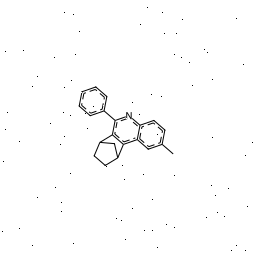 Cc1ccc2nc(-c3ccccc3)c3c(c2c1)C1CCC3C1